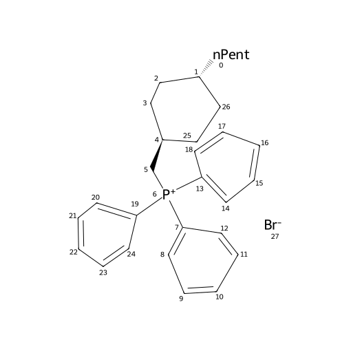 CCCCC[C@H]1CC[C@H](C[P+](c2ccccc2)(c2ccccc2)c2ccccc2)CC1.[Br-]